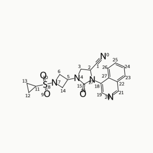 N#CC1CN(C2CN(S(=O)(=O)C3CC3)C2)C(=O)N1c1cncc2ccccc12